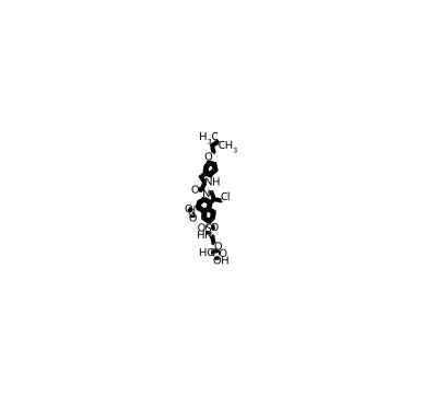 CC(C)CCOc1ccc2c(c1)CC(C(=O)N1CC(CCl)c3c1cc([N+](=O)[O-])c1cc(S(=O)(=O)NCCOP(=O)(O)O)ccc31)N2